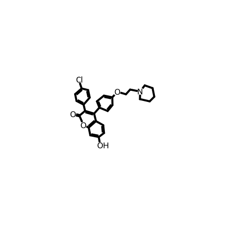 O=c1oc2cc(O)ccc2c(-c2ccc(OCCN3CCCCC3)cc2)c1-c1ccc(Cl)cc1